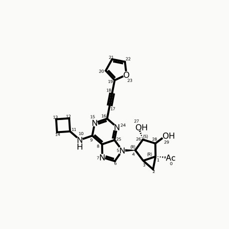 CC(=O)[C@]12CC1[C@@H](n1cnc3c(NC4CCC4)nc(C#Cc4ccco4)nc31)[C@H](O)C2O